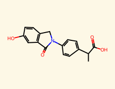 CC(C(=O)O)c1ccc(N2Cc3ccc(O)cc3C2=O)cc1